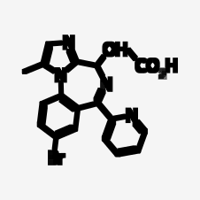 CC(=O)O.Cc1cnc2n1-c1ccc(Br)cc1C(c1ccccn1)=NC2O